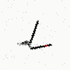 CCCCCCCCCCCCCCCC/C=C\OC[C@H](COP(=O)(O)OCCN)OC(=O)CCCCCCCCCCCCCCCCCCC